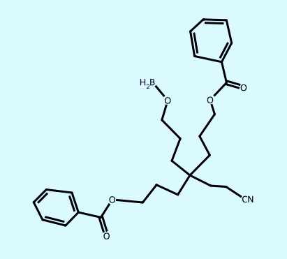 BOCCCC(CCC#N)(CCCOC(=O)c1ccccc1)CCCOC(=O)c1ccccc1